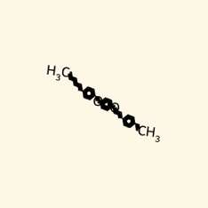 CCCCCCC[C@H]1CC[C@H](COc2ccc(OCCC[C@H]3CC[C@H](CCC)CC3)cc2)CC1